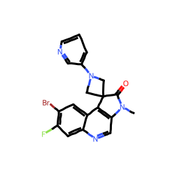 CN1C(=O)C2(CN(c3cccnc3)C2)c2c1cnc1cc(F)c(Br)cc21